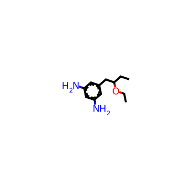 CCOC(CC)Cc1cc(N)cc(N)c1